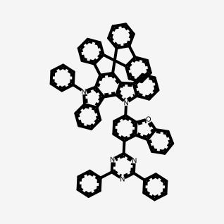 c1ccc(-c2nc(-c3ccccc3)nc(-c3ccc(-n4c5ccccc5c5c6c(c7c(c8ccccc8n7-c7ccccc7)c54)-c4ccccc4C64c5ccccc5-c5ccccc54)c4oc5ccccc5c34)n2)cc1